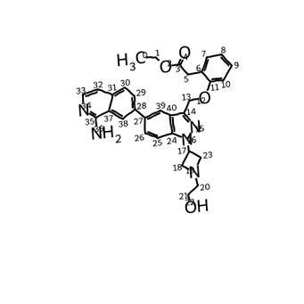 CCOC(=O)Cc1ccccc1OCc1nn(C2CN(CCO)C2)c2ccc(-c3ccc4ccnc(N)c4c3)cc12